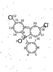 O=P(c1ccccc1)(c1ccc(Cl)cc1)c1ccc(Cl)cc1